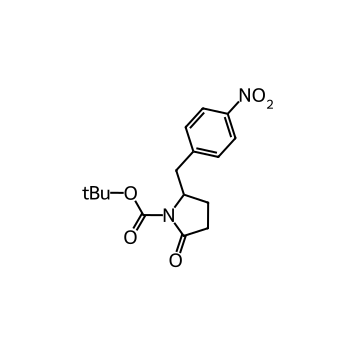 CC(C)(C)OC(=O)N1C(=O)CCC1Cc1ccc([N+](=O)[O-])cc1